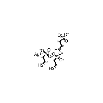 O=S(=O)([O-])CCS.O=S(=O)([O-])CCS.O=S(=O)([O-])CCS.[Au+3]